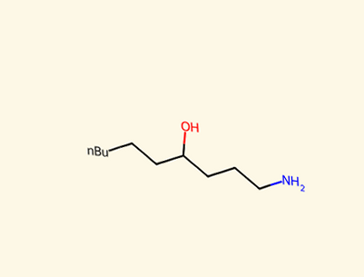 CCCCCCC(O)CCCN